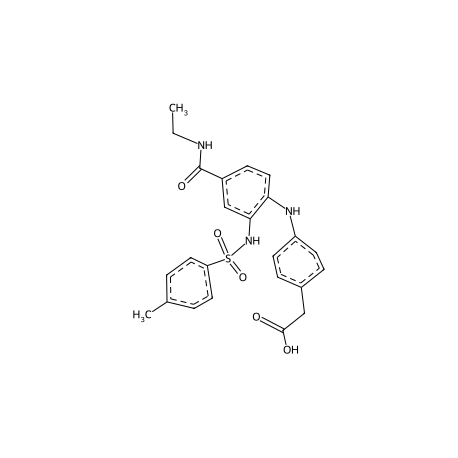 CCNC(=O)c1ccc(Nc2ccc(CC(=O)O)cc2)c(NS(=O)(=O)c2ccc(C)cc2)c1